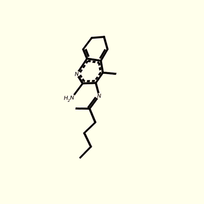 CCCC/C(C)=N/c1c(N)nc2c(c1C)=CCCC=2